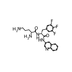 NCCC[C@H](N)C(=O)N[C@@H](Cc1cc(F)c(F)c(F)c1)C(=O)Nc1cnc2ccccc2c1